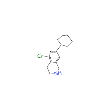 Clc1cc(C2CCCCC2)cc2c1CCNC2